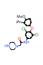 COc1ccc(Oc2c(Cl)cc(NC(=O)CN3CCNCC3)cc2Cl)cc1C(C)C